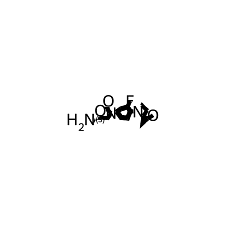 NC[C@H]1CN(c2ccc(N3CC4OC5CC453)c(F)c2)C(=O)O1